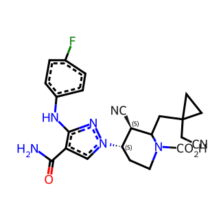 N#CCC1(CC2[C@H](C#N)[C@@H](n3cc(C(N)=O)c(Nc4ccc(F)cc4)n3)CCN2C(=O)O)CC1